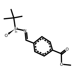 COC(=O)c1ccc(C=N[S@@+]([O-])C(C)(C)C)cc1